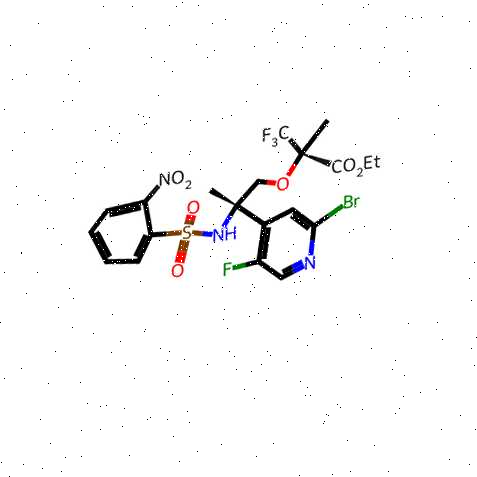 CCOC(=O)[C@@](C)(OC[C@@](C)(NS(=O)(=O)c1ccccc1[N+](=O)[O-])c1cc(Br)ncc1F)C(F)(F)F